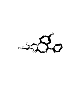 CCS(=O)(=O)CN1C(=O)CN=C(c2ccccc2)c2cc(Br)ccc21